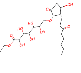 CCCCCC(=O)CC[C@H]1[C@H](O)CC(=O)[C@H]1OCC(O)C(O)C(O)C(O)C(O)C(=O)OCC